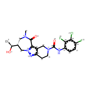 CC[C@H](O)[C@@H]1CN(C)C(=O)c2c3c(nn2C1)CCN(C(=O)Nc1ccc(F)c(Cl)c1F)C3